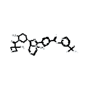 C[C@H]1CC[C@@H](C2=C3C=NC=C[N+]3(N)C(c3ccc(C(=O)Nc4cc(C(C)(F)F)ccn4)cc3)=N2)CN1C(=O)C1(C)COC1